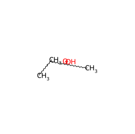 CCCCCCCCC=CCCC(C)CCCCCCCCCC(CCCCCCCCCCCCCC)C(=O)O